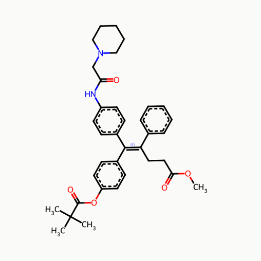 COC(=O)CC/C(=C(/c1ccc(NC(=O)CN2CCCCC2)cc1)c1ccc(OC(=O)C(C)(C)C)cc1)c1ccccc1